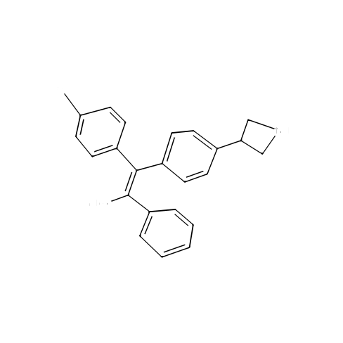 CCCCCC/C(=C(\c1ccc(Br)cc1)c1ccc(C2CNC2)cc1)c1ccccc1